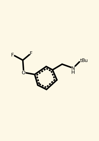 CC(C)(C)NCc1cccc(OC(F)F)c1